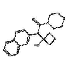 O=C(C(c1ccc2ccccc2c1)C1(O)CCC1)N1CCOCC1